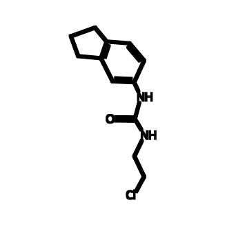 O=C(NCCCl)Nc1ccc2c(c1)CCC2